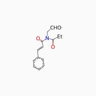 CCC(=O)N(C[C]=O)C(=O)C=Cc1ccccc1